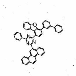 c1ccc(-c2cccc(-c3ccc(-c4nc(-c5ccccc5)nc(-c5cc6c7ccccc7ccc6c6ccccc56)n4)c4c3oc3ccccc34)c2)cc1